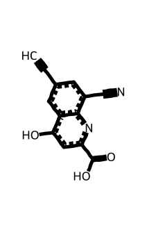 C#Cc1cc(C#N)c2nc(C(=O)O)cc(O)c2c1